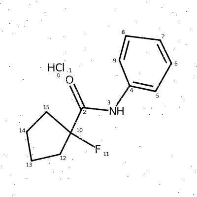 Cl.O=C(Nc1ccccc1)C1(F)CCCC1